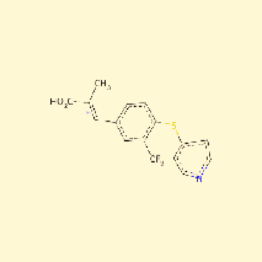 C/C(=C\c1ccc(Sc2ccncc2)c(C(F)(F)F)c1)C(=O)O